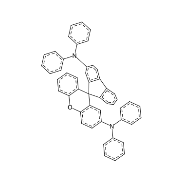 c1ccc(N(c2ccccc2)c2ccc3c(c2)C2(c4ccccc4O3)c3ccccc3-c3ccc(N(c4ccccc4)c4ccccc4)cc32)cc1